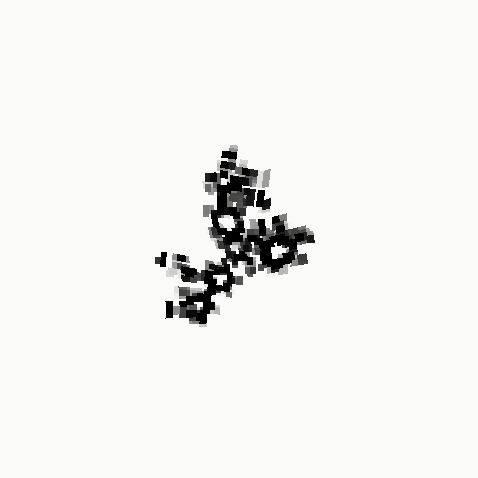 COc1nc(N2CC3(CCN(C(=O)C(C)(C)O)CC3)N(Cc3cccc(F)c3C)C2=O)ccc1-c1cn[nH]c1